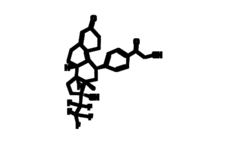 C[C@]12C[C@H](c3ccc(C(=O)CO)cc3)C3=C4CCC(=O)C=C4CC[C@H]3[C@@H]1CC[C@]2(O)C(F)(F)C(F)(F)F